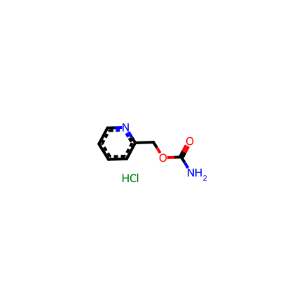 Cl.NC(=O)OCc1ccccn1